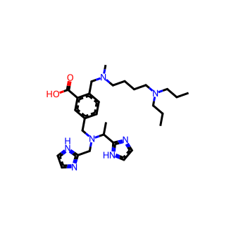 CCCN(CCC)CCCCN(C)Cc1ccc(CN(Cc2ncc[nH]2)C(C)c2ncc[nH]2)cc1C(=O)O